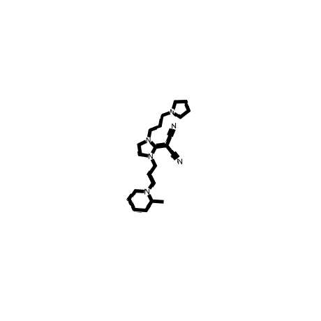 CC1CCCCN1CCCN1CCN(CCCN2CCCC2)C1=C(C#N)C#N